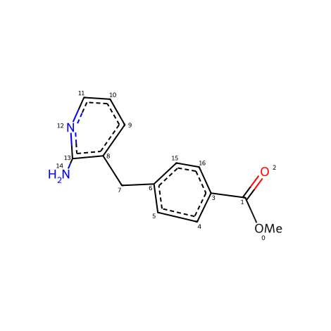 COC(=O)c1ccc(Cc2cccnc2N)cc1